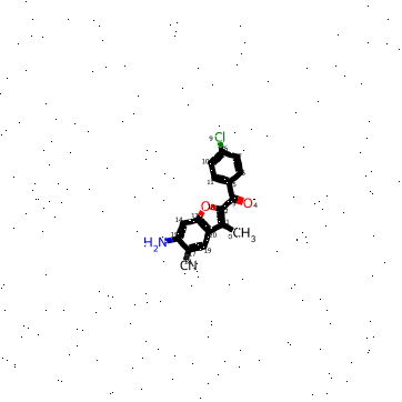 Cc1c(C(=O)c2ccc(Cl)cc2)oc2cc(N)c(C#N)cc12